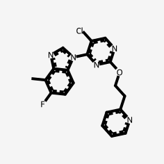 Cc1c(F)ccc2c1ncn2-c1nc(OCCc2ccccn2)ncc1Cl